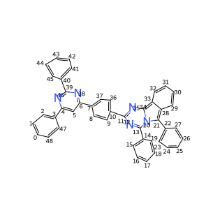 c1ccc(-c2cc(-c3ccc(-c4nc(-c5ccccc5)n5c(-c6ccccc6)c6ccccc6c5n4)cc3)nc(-c3ccccc3)n2)cc1